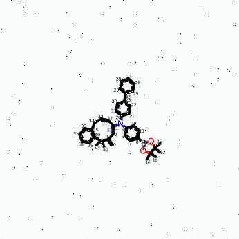 C=C1/C=C(N(c2ccc(B3OC(C)(C)C(C)(C)O3)cc2)c2ccc(-c3ccccc3)cc2)\C=C/Cc2ccccc2C1(C)C